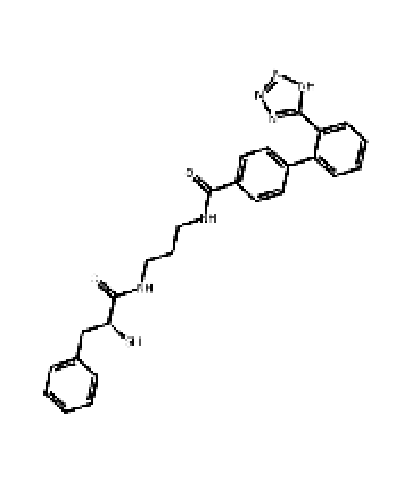 O=C(NCCCNC(=O)[C@@H](S)Cc1ccccc1)c1ccc(-c2ccccc2-c2nnn[nH]2)cc1